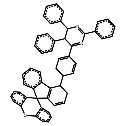 C1=CC2=C(c3ccccc3C23c2ccccc2Oc2ccccc23)C(C2C=CC(C3=NC(c4ccccc4)=NC(c4ccccc4)C3c3ccccc3)=CC2)C1